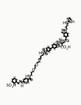 O=C(NCCCOCCOCCOCCCNS(=O)(=O)c1ccc(-c2ccc(S(=O)(=O)NC(CNC(=O)c3ccc4c(cnn4CCCNc4ncc[nH]4)c3)C(=O)O)cc2)cc1)c1ccc(NN=Cc2ccccc2S(=O)(=O)O)nc1